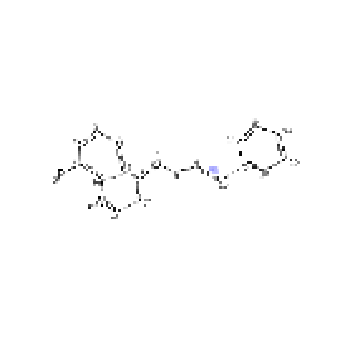 Fc1cccc2c(OC/C=C/c3ccccc3)ccnc12